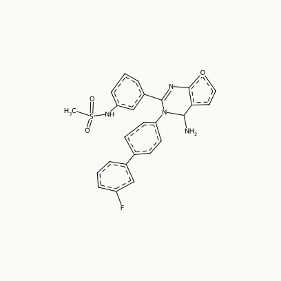 CS(=O)(=O)Nc1cccc(C2=Nc3occc3C(N)N2c2ccc(-c3cccc(F)c3)cc2)c1